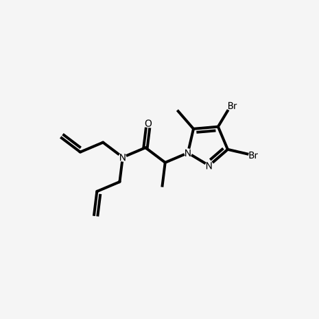 C=CCN(CC=C)C(=O)C(C)n1nc(Br)c(Br)c1C